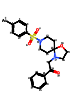 CC(=O)c1ccc(S(=O)(=O)N2CCC3(CC2)OCCN3CC(=O)c2ccccc2)cc1